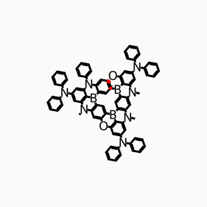 CN1c2cc3c(cc2B2c4ccccc4Oc4cc(N(c5ccccc5)c5ccccc5)cc1c42)B1c2cc4c(cc2Oc2cc(N(c5ccccc5)c5ccccc5)cc(c21)N3C)N(C)c1cc(N(c2ccccc2)c2ccccc2)cc2c1B4c1ccccc1N2c1ccccc1